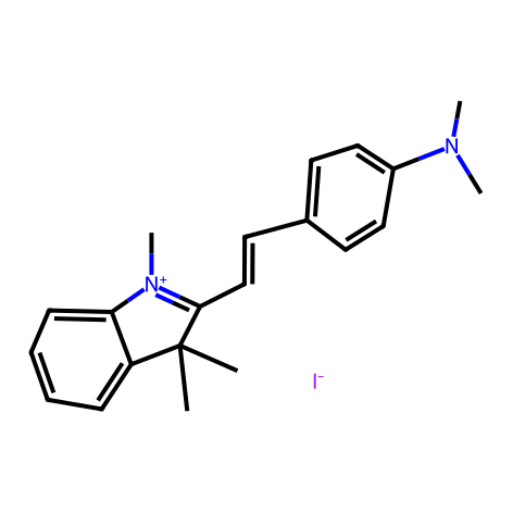 CN(C)c1ccc(/C=C/C2=[N+](C)c3ccccc3C2(C)C)cc1.[I-]